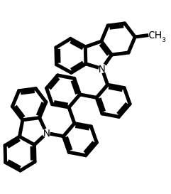 CC1C=Cc2c(n(-c3ccccc3-c3ccccc3-c3ccccc3-n3c4ccccc4c4ccccc43)c3ccccc23)C1